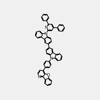 c1ccc(-c2cc(-c3ccccc3)nc(-n3c4ccccc4c4cc(-c5ccc6c(c5)c5ccccc5n6-c5ccc(-c6ccnc7c6oc6ccccc67)cc5)ccc43)c2)cc1